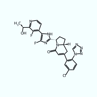 C[C@H](O)c1nccc(-c2[nH]c([C@@H]3CC[C@@H]4CC(c5cc(Cl)ccc5-n5cnnn5)=CC(=O)N43)nc2F)c1F